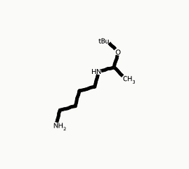 CC(NCCCCN)OC(C)(C)C